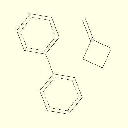 C=C1CCC1.c1ccc(-c2ccccc2)cc1